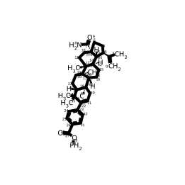 C=C(C)[C@@H]1CC[C@]2(C(N)=O)CC[C@]3(C)[C@H](CC[C@@H]4[C@@]5(C)CC=C(c6ccc(C(=O)OP)cc6)C(C)(C)[C@@H]5CC[C@]43C)[C@@H]12